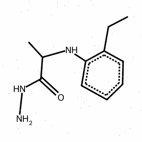 CCc1ccccc1NC(C)C(=O)NN